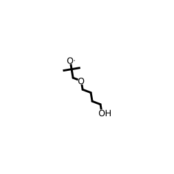 CC(C)([O])COCCCCO